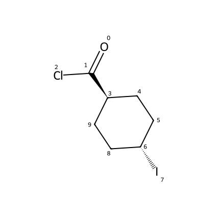 O=C(Cl)[C@H]1CC[C@H](I)CC1